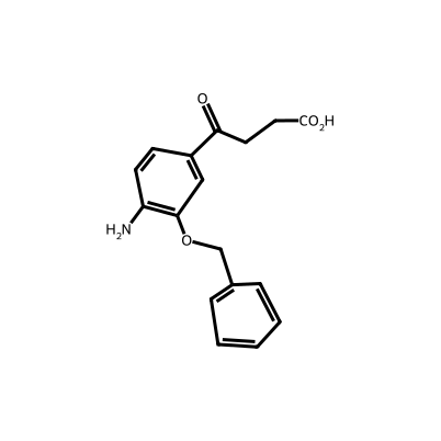 Nc1ccc(C(=O)CCC(=O)O)cc1OCc1ccccc1